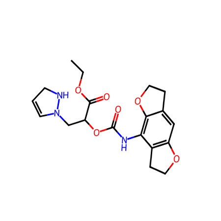 CCOC(=O)C(CN1C=CCN1)OC(=O)Nc1c2c(cc3c1OCC3)OCC2